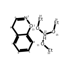 C1=NOc2ccccc2C1.CCO[SiH](OCC)OCC